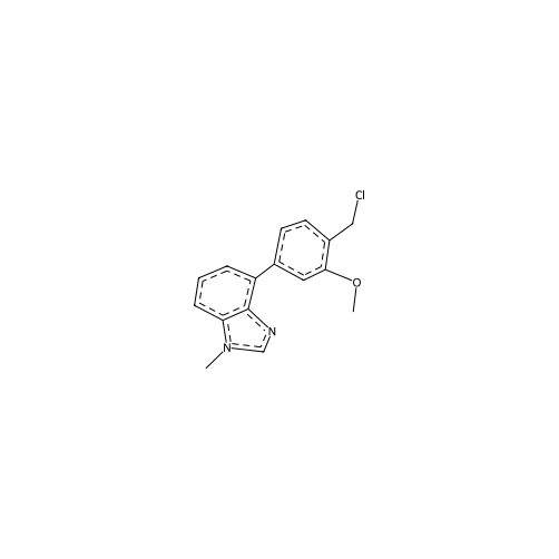 COc1cc(-c2cccc3c2ncn3C)ccc1CCl